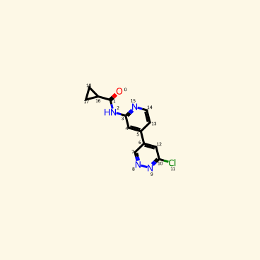 O=C(Nc1cc(-c2cnnc(Cl)c2)ccn1)C1CC1